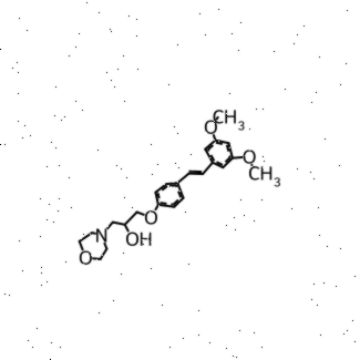 COc1cc(/C=C/c2ccc(OCC(O)CN3CCOCC3)cc2)cc(OC)c1